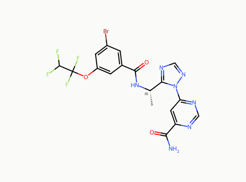 C[C@H](NC(=O)c1cc(Br)cc(OC(F)(F)C(F)F)c1)c1ncnn1-c1cc(C(N)=O)ncn1